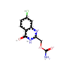 NC(=O)OCc1nc2cc(Cl)ccc2c(=O)[nH]1